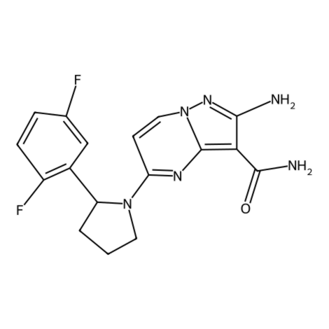 NC(=O)c1c(N)nn2ccc(N3CCCC3c3cc(F)ccc3F)nc12